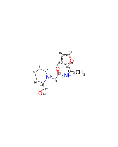 CC(NC(=O)CN1CCCCC1C=O)c1ccco1